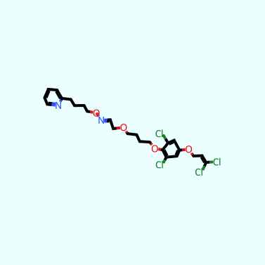 ClC(Cl)=CCOc1cc(Cl)c(OCCCCOCC=NOCCCCc2ccccn2)c(Cl)c1